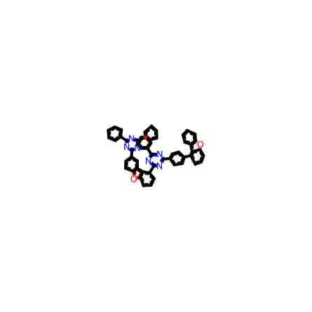 c1ccc(-c2nc(-c3ccccc3)nc(-c3ccc4oc5cccc(-c6nc(-c7ccccc7)nc(-c7ccc(-c8cccc9oc%10ccccc%10c89)cc7)n6)c5c4c3)n2)cc1